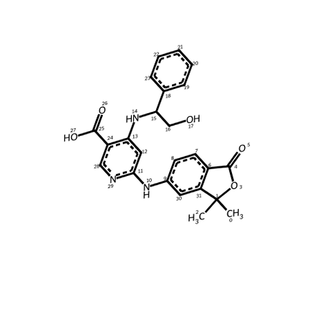 CC1(C)OC(=O)c2ccc(Nc3cc(NC(CO)c4ccccc4)c(C(=O)O)cn3)cc21